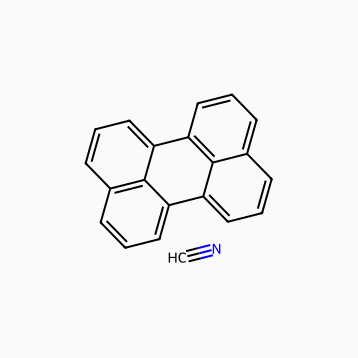 C#N.c1cc2cccc3c4cccc5cccc(c(c1)c23)c54